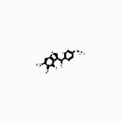 BC1=Cc2occ(C(=O)c3ccc(OC)cc3)c2C(=O)C1=O